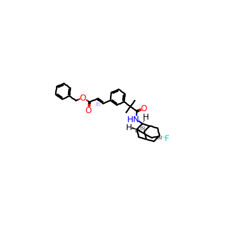 CC(C)(C(=O)N[C@H]1C2CC3C[C@H]1C[C@](F)(C3)C2)c1cccc(/C=C/C(=O)OCc2ccccc2)c1